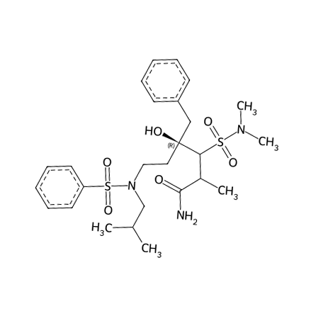 CC(C)CN(CC[C@](O)(Cc1ccccc1)C(C(C)C(N)=O)S(=O)(=O)N(C)C)S(=O)(=O)c1ccccc1